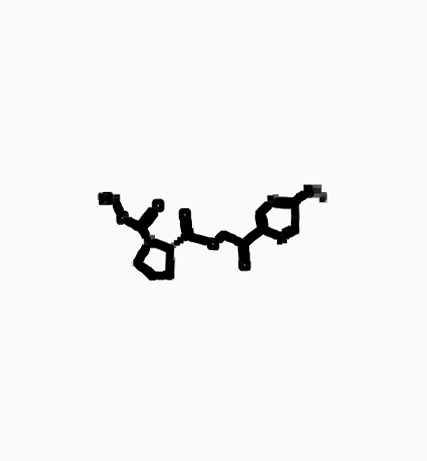 Bc1cnc(C(=O)COC(=O)[C@@H]2CCCN2C(=O)OC(C)(C)C)cn1